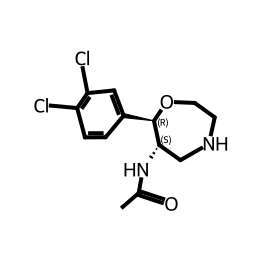 CC(=O)N[C@H]1CNCCO[C@@H]1c1ccc(Cl)c(Cl)c1